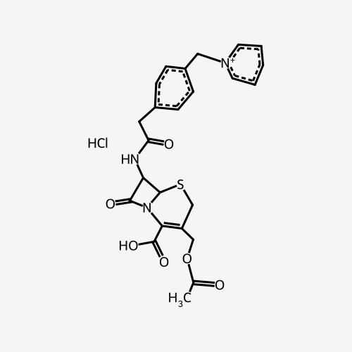 CC(=O)OCC1=C(C(=O)O)N2C(=O)C(NC(=O)Cc3ccc(C[n+]4ccccc4)cc3)C2SC1.Cl